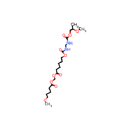 COCCCCC(=O)OCOC(=O)CCCCCOC(=O)NCNC(=O)OCC(C)OC